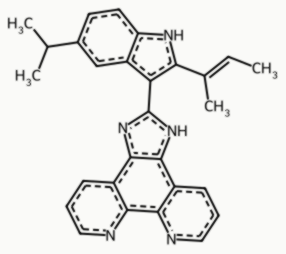 C/C=C(\C)c1[nH]c2ccc(C(C)C)cc2c1-c1nc2c3cccnc3c3ncccc3c2[nH]1